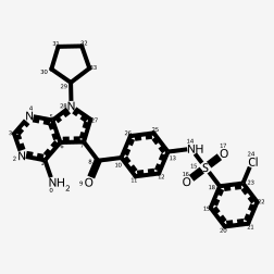 Nc1ncnc2c1c(C(=O)c1ccc(NS(=O)(=O)c3ccccc3Cl)cc1)cn2C1CCCC1